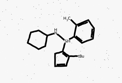 Cc1ccccc1[SiH](NC1CCCCC1)C1=C(C(C)(C)C)C=CC1